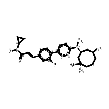 CC1CCC[C@@](C)(N)C[C@@H](N(C)c2ccc(-c3ccc(/C=C/C(=O)N(C)C4CC4)cc3O)nn2)C1